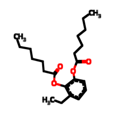 CCCCCCC(=O)Oc1cccc(CC)c1OC(=O)CCCCCC